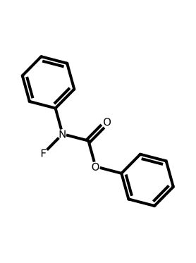 O=C(Oc1ccccc1)N(F)c1ccccc1